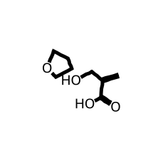 C1CCOC1.C=C(CO)C(=O)O